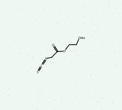 COCCOC(=O)CN=C=S